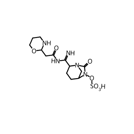 N=C(NC(=O)CC1NCCCO1)C1CCC2CN1C(=O)N2OS(=O)(=O)O